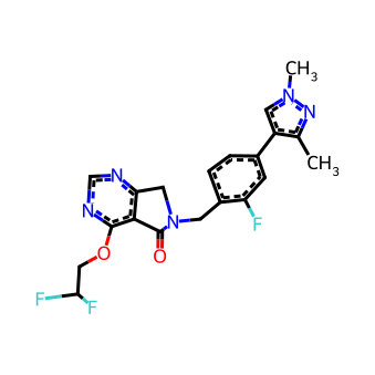 Cc1nn(C)cc1-c1ccc(CN2Cc3ncnc(OCC(F)F)c3C2=O)c(F)c1